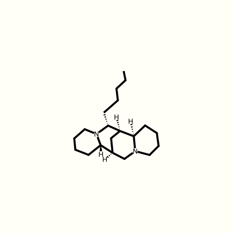 CCCCC[C@@H]1[C@@H]2C[C@@H](CN3CCCC[C@H]23)[C@@H]2CCCCN12